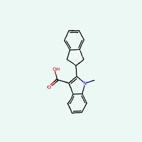 Cn1c(C2Cc3ccccc3C2)c(C(=O)O)c2ccccc21